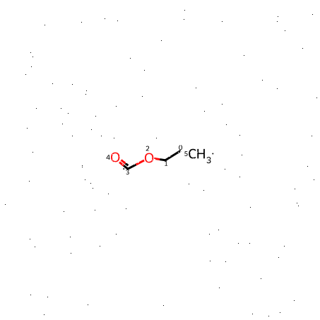 CCO[C]=O.[CH3]